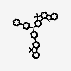 CC1(C)c2ccccc2-c2ccc(-c3ccc(N(c4ccc(-c5ccccc5)cc4)c4ccc5c(c4)C(C)(C)c4ccc6c(sc7ccccc76)c4-5)cc3)cc21